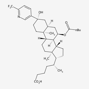 CCCCC(=O)O[C@@H]1C[C@@H]2C[C@](O)(c3ccc(C(F)(F)F)nc3)CC[C@]2(C)[C@H]2CC[C@]3(C)[C@@H]([C@H](C)CCCC(=O)O)CC[C@H]3[C@H]12